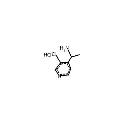 CC(N)c1ccncc1Cl.Cl